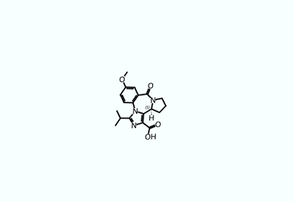 COc1ccc2c(c1)C(=O)N1CCC[C@H]1c1c(C(=O)O)nc(C(C)C)n1-2